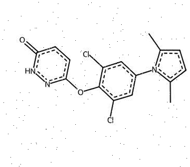 Cc1ccc(C)n1-c1cc(Cl)c(Oc2ccc(=O)[nH]n2)c(Cl)c1